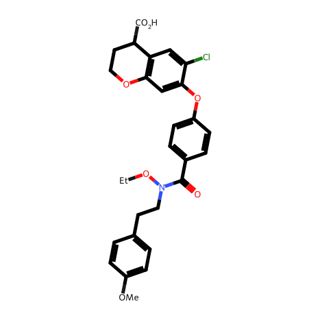 CCON(CCc1ccc(OC)cc1)C(=O)c1ccc(Oc2cc3c(cc2Cl)C(C(=O)O)CCO3)cc1